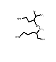 CCCCCCCCCCCCC(C)C(C)O.CCCCCCCCCCCCCC(C)CO